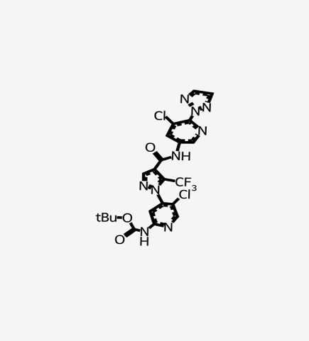 CC(C)(C)OC(=O)Nc1cc(-n2ncc(C(=O)Nc3cnc(-n4nccn4)c(Cl)c3)c2C(F)(F)F)c(Cl)cn1